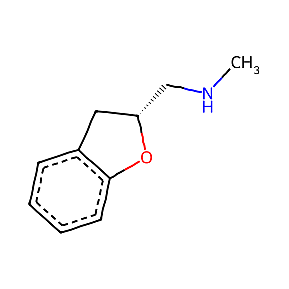 CNC[C@H]1Cc2ccccc2O1